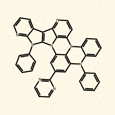 c1ccc(N2c3ccccc3B3c4c2cc(-c2ncccn2)cc4-n2c4c3ccnc4c3c4cccnc4n(-c4ccccc4)c32)cc1